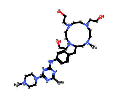 CNc1nc(Nc2ccc(CC3CN(C)CCN(CCO)CCN(CCO)CCN3CCO)cc2)nc(N2CCN(C)CC2)n1